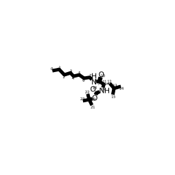 CCCCCCCCNC(=O)[C@H](CC(C)C)NC(=O)OC(C)(C)C